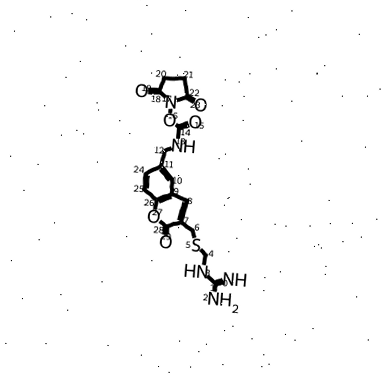 N=C(N)NCSCc1cc2cc(CNC(=O)ON3C(=O)CCC3=O)ccc2oc1=O